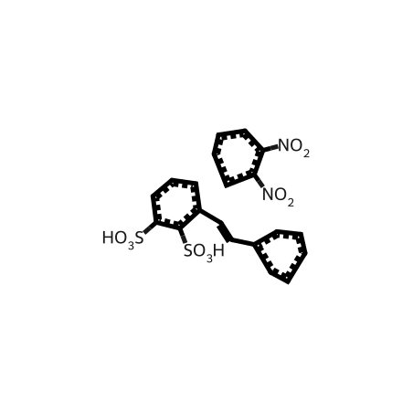 O=S(=O)(O)c1cccc(C=Cc2ccccc2)c1S(=O)(=O)O.O=[N+]([O-])c1ccccc1[N+](=O)[O-]